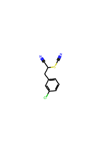 N#CSC(C#N)Cc1cccc(Cl)c1